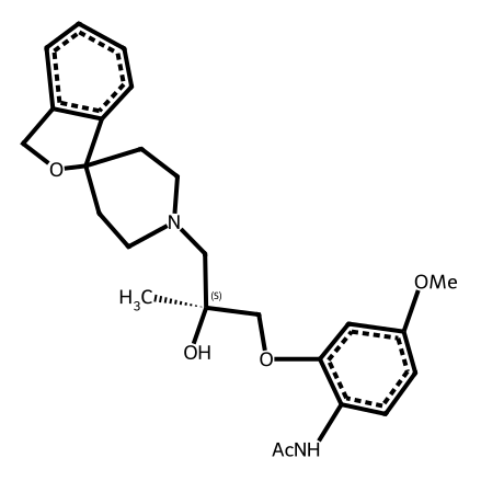 COc1ccc(NC(C)=O)c(OC[C@@](C)(O)CN2CCC3(CC2)OCc2ccccc23)c1